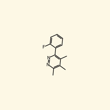 Cc1nnc(-c2ccccc2F)c(C)c1C